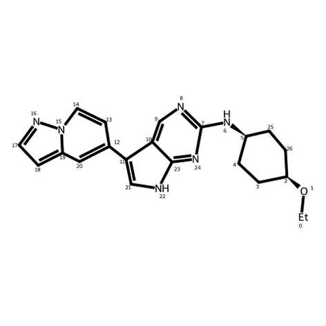 CCO[C@H]1CC[C@@H](Nc2ncc3c(-c4ccn5nccc5c4)c[nH]c3n2)CC1